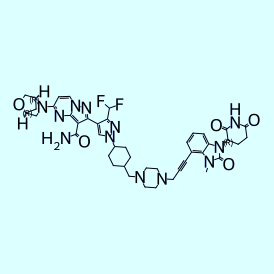 Cn1c(=O)n([C@@H]2CCC(=O)NC2=O)c2cccc(C#CCN3CCN(CC4CCC(n5cc(-c6nn7ccc(N8C[C@H]9C[C@@H]8CO9)nc7c6C(N)=O)c(C(F)F)n5)CC4)CC3)c21